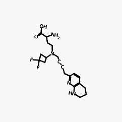 NC(CCN(CCCCc1ccc2c(n1)NCCC2)C1CC(F)(F)C1)C(=O)O